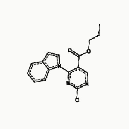 CCCOC(=O)c1cnc(Cl)nc1-n1ccc2ccccc21